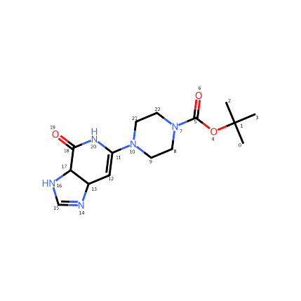 CC(C)(C)OC(=O)N1CCN(C2=CC3N=CNC3C(=O)N2)CC1